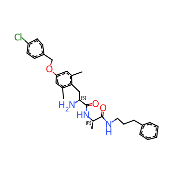 Cc1cc(OCc2ccc(Cl)cc2)cc(C)c1C[C@H](N)C(=O)N[C@H](C)C(=O)NCCCc1ccccc1